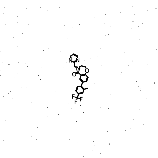 Cc1cc(C(F)(F)F)ccc1-c1ccc2c(c1)C(=O)N(Cc1ncccn1)CCO2